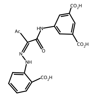 CC(=O)/C(=N/Nc1ccccc1C(=O)O)C(=O)Nc1cc(C(=O)O)cc(C(=O)O)c1